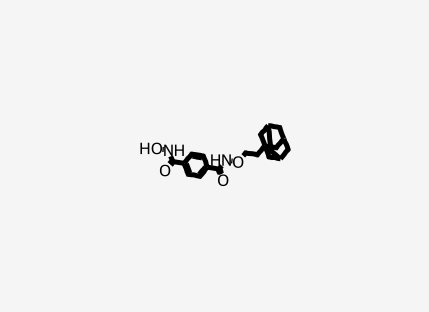 O=C(NO)c1ccc(C(=O)NOCCC23CC4CC(CC(C4)C2)C3)cc1